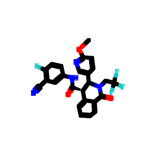 COc1ccc(C2[C@@H](C(=O)Nc3ccc(F)c(C#N)c3)c3ccccc3C(=O)N2CC(F)(F)F)cn1